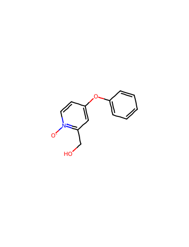 [O-][n+]1ccc(Oc2ccccc2)cc1CO